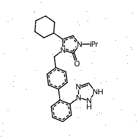 CC(C)n1cc(C2CCCCC2)n(Cc2ccc(-c3ccccc3N3N=CNN3)cc2)c1=O